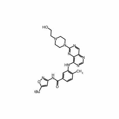 Cc1ccc(C(=O)Nc2cc(C(C)(C)C)on2)cc1Nc1ncnc2cnc(N3CCN(CCO)CC3)nc12